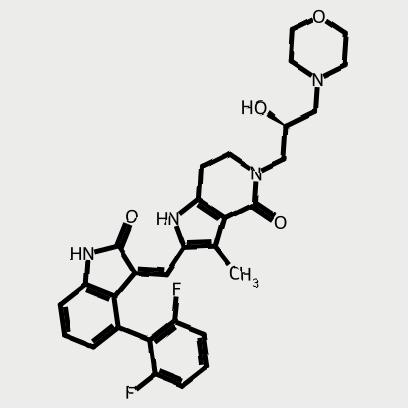 Cc1c(C=C2C(=O)Nc3cccc(-c4c(F)cccc4F)c32)[nH]c2c1C(=O)N(C[C@@H](O)CN1CCOCC1)CC2